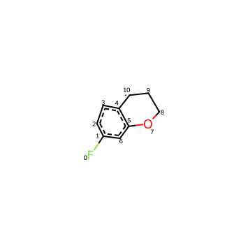 Fc1ccc2c(c1)OCC[CH]2